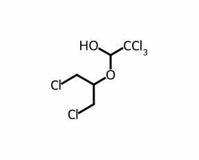 OC(OC(CCl)CCl)C(Cl)(Cl)Cl